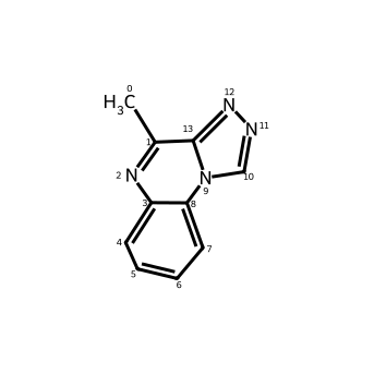 Cc1nc2ccccc2n2cnnc12